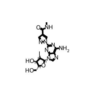 CNC(=O)c1cnn(-c2nc(N)c3ncn([C@@H]4O[C@H](CO)[C@@H](O)[C@H]4I)c3n2)c1